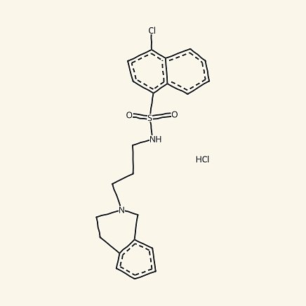 Cl.O=S(=O)(NCCCN1CCc2ccccc2C1)c1ccc(Cl)c2ccccc12